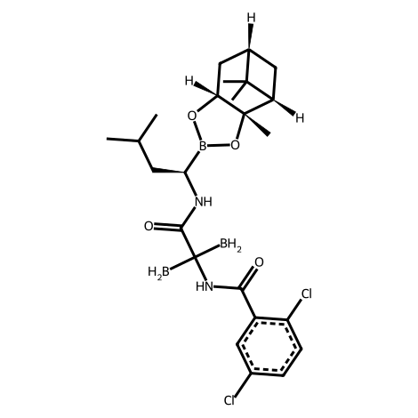 BC(B)(NC(=O)c1cc(Cl)ccc1Cl)C(=O)N[C@@H](CC(C)C)B1O[C@@H]2C[C@@H]3C[C@@H](C3(C)C)[C@]2(C)O1